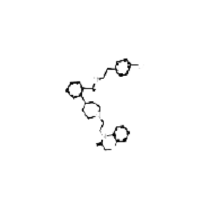 O=C(NCCc1ccc(Br)cc1)c1ccccc1C1CCN(CCN2C(=O)COc3ccccc32)CC1